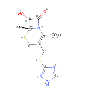 O=C(O)C1=C(CSc2nc[nH]n2)CS[C@@H]2[C@H](O)C(=O)N12